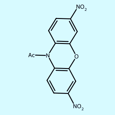 CC(=O)N1c2ccc([N+](=O)[O-])cc2Oc2cc([N+](=O)[O-])ccc21